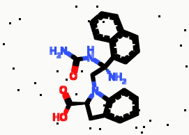 NC(=O)N[C@](N)(CN1c2ccccc2C[C@H]1C(=O)O)c1cccc2ccccc12